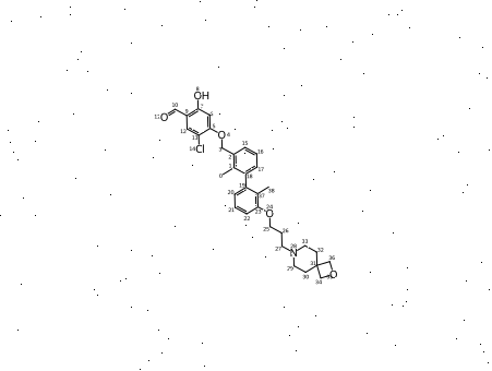 Cc1c(COc2cc(O)c(C=O)cc2Cl)cccc1-c1cccc(OCCCN2CCC3(CC2)COC3)c1C